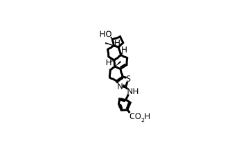 C[C@]12CC[C@H]3[C@@H](CC=C4c5sc(Nc6cccc(C(=O)O)c6)nc5CC[C@@]43C)[C@@H]1CC[C@@H]2O